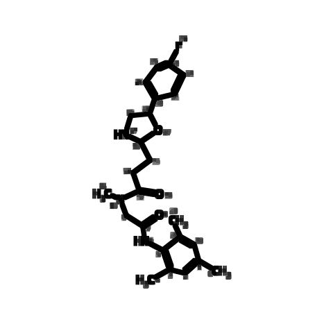 Cc1cc(C)c(NC(=O)CN(C)C(=O)CCC2NCC(c3ccc(F)cc3)O2)c(C)c1